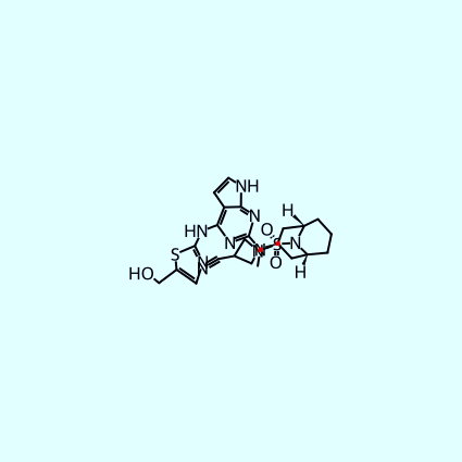 CN(c1nc(Nc2ncc(CO)s2)c2cc[nH]c2n1)[C@@H]1C[C@H]2CCC[C@@H](C1)N2S(=O)(=O)N1CC(C#N)C1